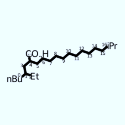 CCCCC(CC)CC(CCCCCCCCCCCC(C)C)C(=O)O